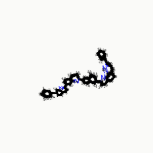 c1ccc(-c2ccc3ccc(-c4ccc5ccc(-c6ccc7cc(-c8ccc9ccc%10ccc(-c%11ccccc%11)nc%10c9n8)ccc7c6)nc5c4)nc3c2)cc1